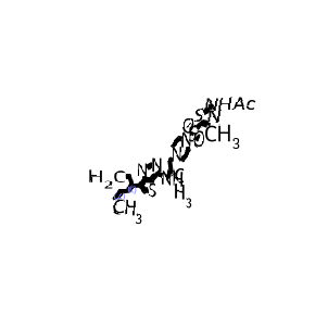 C=C/C(=C\C=C/C)c1csc2c(N[C@@H](C)CN3CCN(S(=O)(=O)c4sc(NC(C)=O)nc4C)CC3)ncnc12